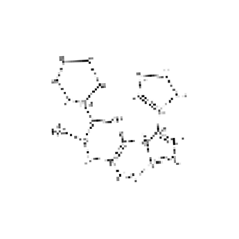 O=C(C(Sc1ccc2nnc(-c3cccs3)n2n1)C(F)(F)F)N1CCCCC1